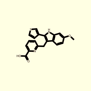 COc1ccc2c(Cc3cccc(C(=O)O)n3)c(-c3ccsc3)[nH]c2c1